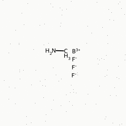 CN.[B+3].[F-].[F-].[F-]